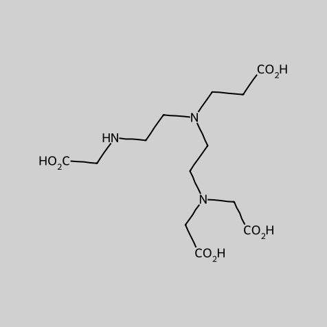 O=C(O)CCN(CCNCC(=O)O)CCN(CC(=O)O)CC(=O)O